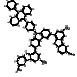 CC(C)(C)c1ccc2sc3c(-c4ccc5c(c4)c4cc(-c6cc(C(C)(C)C)cc7c6sc6ccc(C(C)(C)C)cc67)ccc4n5-c4ccc(-c5c6ccccc6c(-c6ccccc6)c6ccccc56)cc4)cc(C(C)(C)C)cc3c2c1